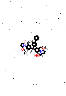 CCc1cc(C(C)(c2ccc(-c3ccccc3)cc2)c2cc(C)c(N3C(=O)C=C/C3=C/O)c(CC)c2)cc(C)c1N1C(=O)C=CC1=O